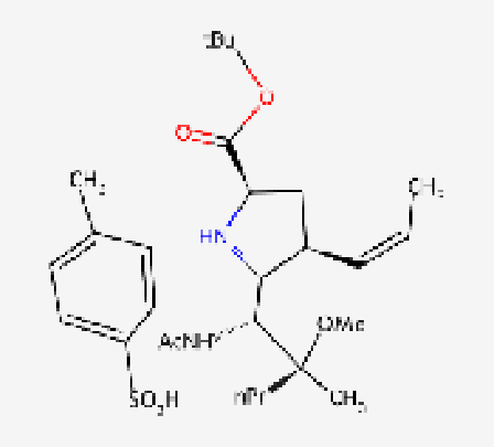 C/C=C\[C@@H]1C[C@H](C(=O)OC(C)(C)C)N[C@H]1[C@@H](NC(C)=O)[C@](C)(CCC)OC.Cc1ccc(S(=O)(=O)O)cc1